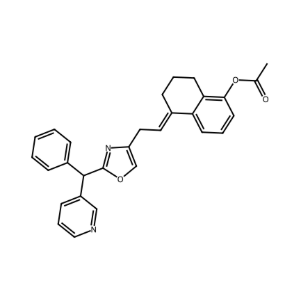 CC(=O)Oc1cccc2c1CCCC2=CCc1coc(C(c2ccccc2)c2cccnc2)n1